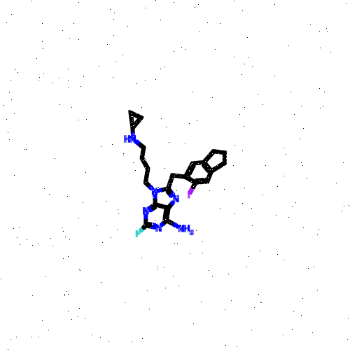 Nc1nc(F)nc2c1nc(Cc1cc3c(cc1I)CCC3)n2CCCCNC1CC1